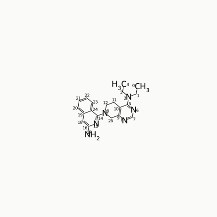 CCN(CC)c1ncnc2c1CCN(c1nc(N)cc3ccccc13)C2